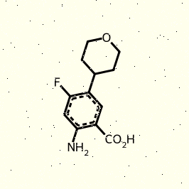 Nc1cc(F)c(C2CCOCC2)cc1C(=O)O